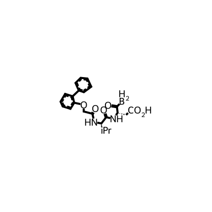 BC(=O)[C@H](CC(=O)O)NC(=O)[C@@H](NC(=O)COc1ccccc1-c1ccccc1)C(C)C